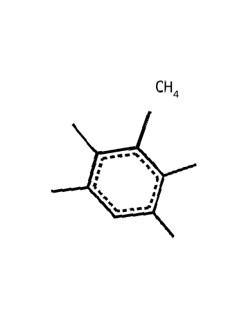 C.Cc1cc(C)c(C)c(C)c1C